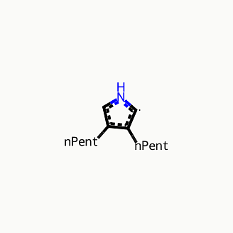 CCCCCc1[c][nH]cc1CCCCC